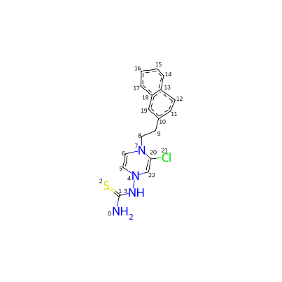 NC(=S)NN1C=CN(CCc2ccc3ccccc3c2)C(Cl)=C1